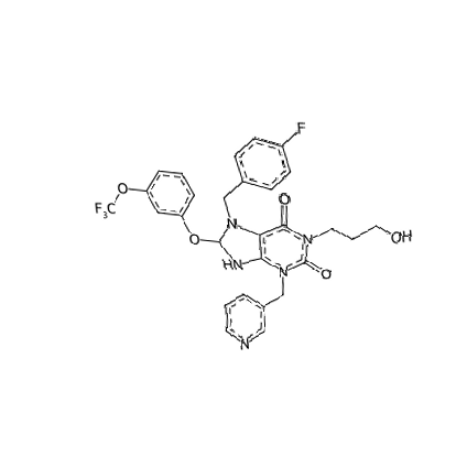 O=c1c2c(n(Cc3cccnc3)c(=O)n1CCCO)NC(Oc1cccc(OC(F)(F)F)c1)N2Cc1ccc(F)cc1